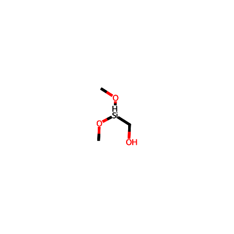 CO[SiH](CO)OC